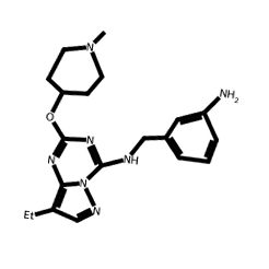 CCc1cnn2c(NCc3cccc(N)c3)nc(OC3CCN(C)CC3)nc12